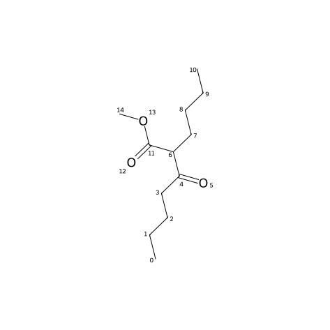 CCCCC(=O)C(CCCC)C(=O)OC